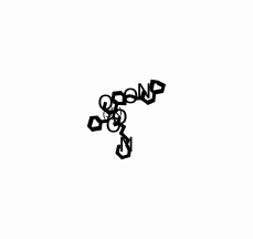 O=C(CCCN1CCCCC1)O[C@H]1c2cc(OCc3ccc4ccccc4n3)ccc2OC[C@@H]1Cc1ccccc1